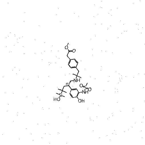 COC(=O)Cc1ccc(CC(C)(C)NC[C@H](CC(C)(C)[Si](C)(C)O)c2ccc(O)c(NS(C)(=O)=O)c2)cc1